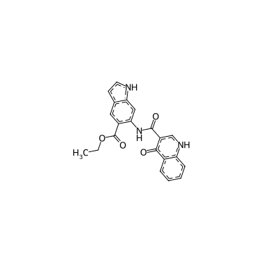 CCOC(=O)c1cc2cc[nH]c2cc1NC(=O)c1c[nH]c2ccccc2c1=O